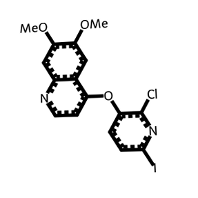 COc1cc2nccc(Oc3ccc(I)nc3Cl)c2cc1OC